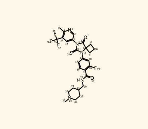 Cc1ncc(N2C(=O)C3(CCC3)N(c3ccc(C(=O)NCC4CCN(C)CC4)c(F)c3)C2=S)cc1C(F)(F)F